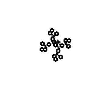 c1ccc(N(c2ccc(N(c3ccc(N(c4ccccc4)c4cccc5ccccc45)cc3)c3ccc(N(c4ccc(N(c5ccccc5)c5cccc6ccccc56)cc4)c4ccc(N(c5ccccc5)c5cccc6ccccc56)cc4)c4nccnc34)cc2)c2cccc3ccccc23)cc1